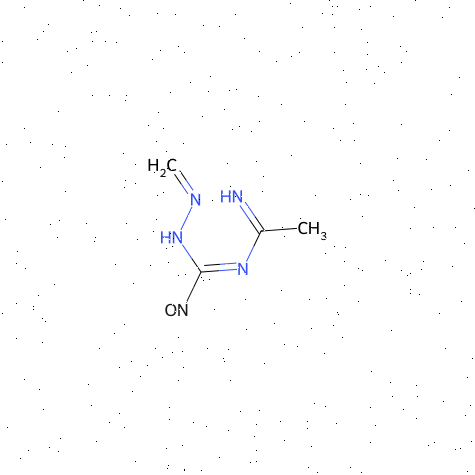 C=NN/C(N=O)=N\C(C)=N